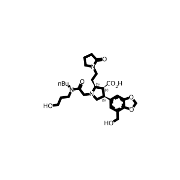 CCCCN(CCCO)C(=O)CN1C[C@H](c2cc(CO)c3c(c2)OCO3)[C@@H](C(=O)O)[C@@H]1CCN1CCCC1=O